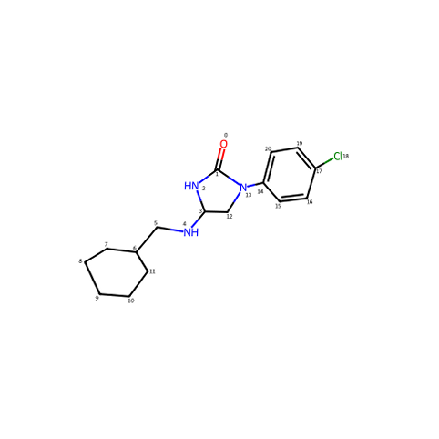 O=C1NC(NCC2CCCCC2)CN1c1ccc(Cl)cc1